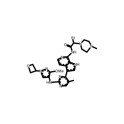 CCC(C(=O)Nc1nccc2c(-c3nc(Nc4cn(C5COC5)nc4OC)ncc3C)c[nH]c12)N1CCN(C)CC1